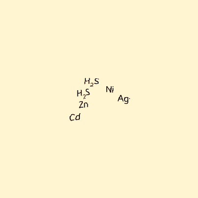 S.S.[Ag].[Cd].[Ni].[Zn]